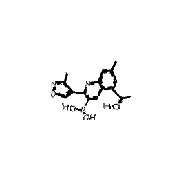 Cc1cc(C(C)O)c2cc(B(O)O)c(-c3conc3C)nc2c1